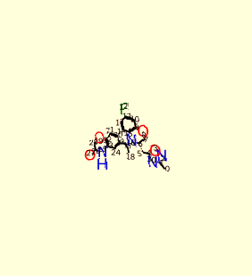 Cc1noc(C[C@H]2COc3cc(F)ccc3N2C(C)c2ccc3c(c2)NC(=O)CO3)n1